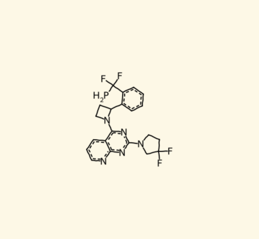 FC1(F)CCN(c2nc(N3CCC3c3ccccc3C(F)(F)P)c3cccnc3n2)C1